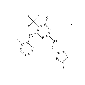 Cc1ccccc1Oc1nc(NSc2cnn(C)c2)nc(Cl)c1C(F)(F)F